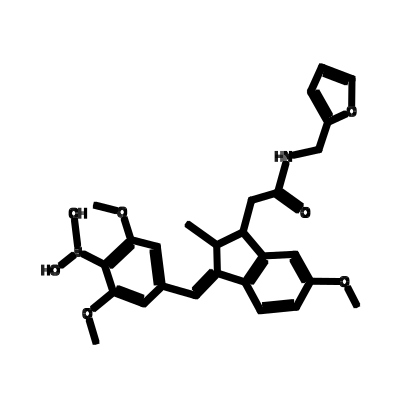 COc1ccc2c(c1)C(CC(=O)NCc1ccco1)C(C)C2=Cc1cc(OC)c(B(O)O)c(OC)c1